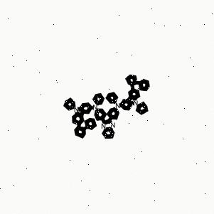 c1ccc(-c2ccccc2-c2ccc3c(c2)c2cc(N(c4ccccc4)c4ccc(-c5nc6ccccc6nc5-c5ccc(N(c6ccccc6)c6ccc7c(c6)c6cc(-c8ccccc8-c8ccccc8)ccc6n7-c6ccccc6)cc5)cc4)ccc2n3-c2ccccc2)cc1